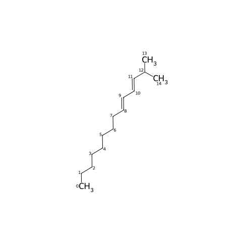 CCCCCCCCC=CC=CC(C)C